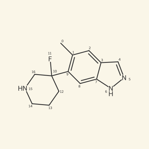 Cc1cc2cn[nH]c2cc1C1(F)CCCNC1